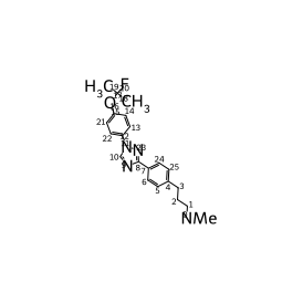 CNCCCc1ccc(-c2ncn(-c3ccc(OC(C)(C)F)cc3)n2)cc1